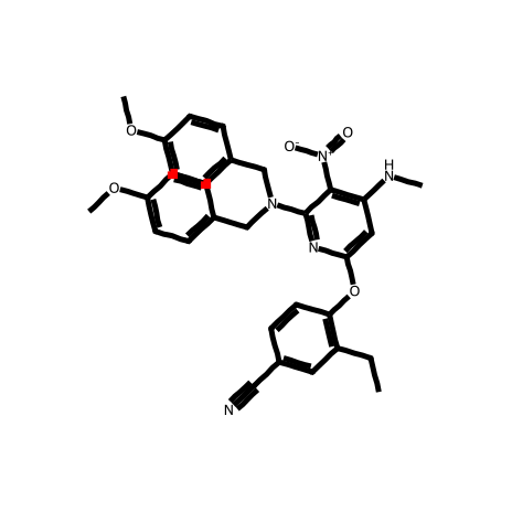 CCc1cc(C#N)ccc1Oc1cc(NC)c([N+](=O)[O-])c(N(Cc2ccc(OC)cc2)Cc2ccc(OC)cc2)n1